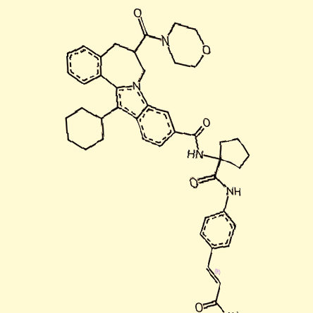 O=C(O)/C=C/c1ccc(NC(=O)C2(NC(=O)c3ccc4c(C5CCCCC5)c5n(c4c3)CC(C(=O)N3CCOCC3)Cc3ccccc3-5)CCCC2)cc1